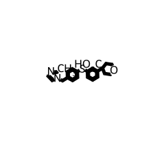 Cc1nccn1Cc1ccc(Sc2cccc(C3(C(=O)O)CCOCC3)c2)cc1